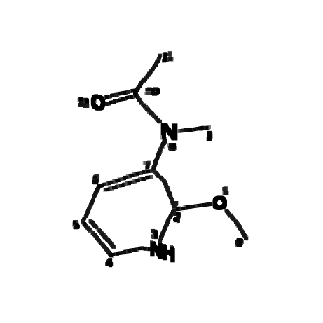 CO[C]1NC=CC=C1N(C)C(C)=O